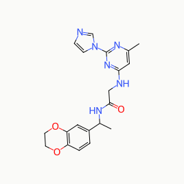 Cc1cc(NCC(=O)NC(C)c2ccc3c(c2)OCCO3)nc(-n2ccnc2)n1